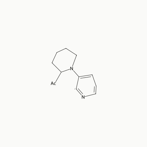 CC(=O)C1CCCCN1c1[c]nccc1